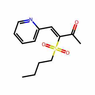 CCCCS(=O)(=O)C(=Cc1ccccn1)C(C)=O